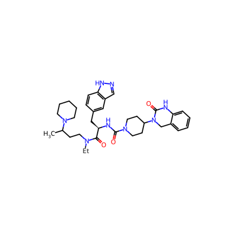 CCN(CCC(C)N1CCCCC1)C(=O)[C@@H](Cc1ccc2[nH]ncc2c1)NC(=O)N1CCC(N2Cc3ccccc3NC2=O)CC1